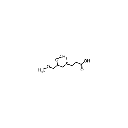 COCC(CSCCC(=O)O)OC